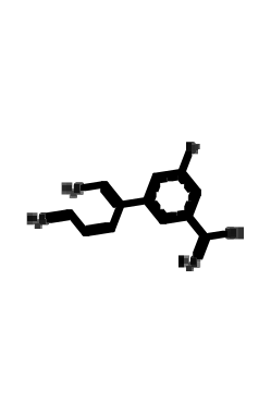 C=C/C=C\C(=C/C)c1cc(Br)cc(C(=C)O)c1